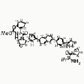 COC(=O)N[C@@H](C(=O)N1CCOC[C@H]1c1ncc(-c2ccc3cc(-c4ccc(-c5cnc([C@@H]6CCCN6C(=O)[C@@H](N)C(C)C)[nH]5)cc4)ccc3c2)[nH]1)c1ccccc1